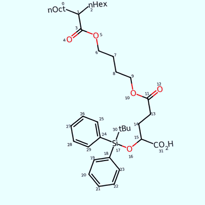 CCCCCCCCC(CCCCCC)C(=O)OCCCCOC(=O)CCC(O[Si](c1ccccc1)(c1ccccc1)C(C)(C)C)C(=O)O